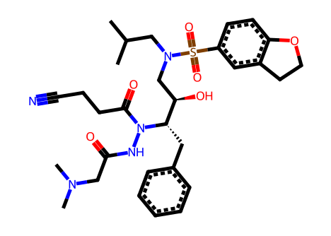 CC(C)CN(C[C@@H](O)[C@H](Cc1ccccc1)N(NC(=O)CN(C)C)C(=O)CCC#N)S(=O)(=O)c1ccc2c(c1)CCO2